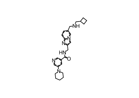 O=C(NCc1cn2cc(CNCC3CCC3)ccc2n1)c1cncc(N2CCCCC2)c1